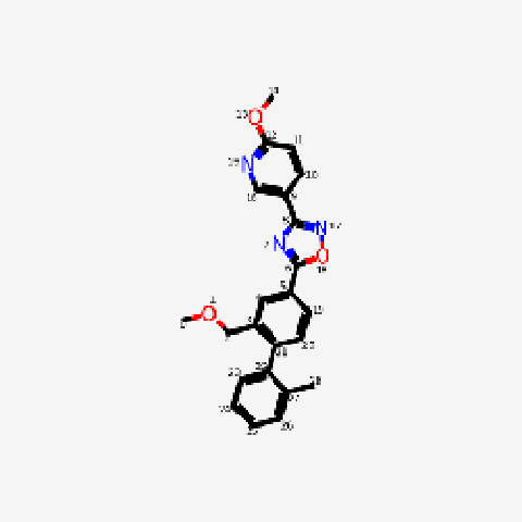 COCc1cc(-c2nc(-c3ccc(OC)nc3)no2)ccc1-c1ccccc1C